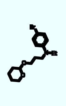 CCN(CCCOC1CCCCO1)c1ccc(Br)cc1